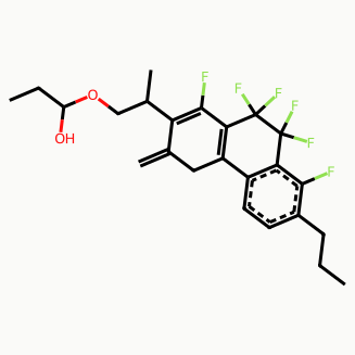 C=C1CC2=C(C(F)=C1C(C)COC(O)CC)C(F)(F)C(F)(F)c1c2ccc(CCC)c1F